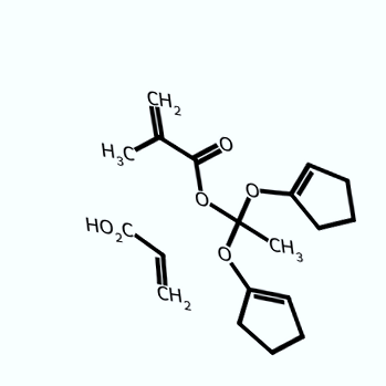 C=C(C)C(=O)OC(C)(OC1=CCCC1)OC1=CCCC1.C=CC(=O)O